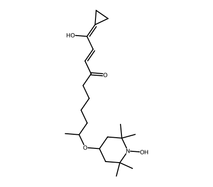 CC(CCCCC(=O)/C=C/C(O)=C1CC1)OC1CC(C)(C)N(O)C(C)(C)C1